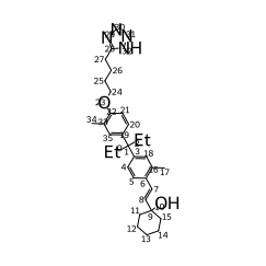 CCC(CC)(c1ccc(C=CC2(O)CCCCC2)c(C)c1)c1ccc(OCCCCc2nnn[nH]2)c(C)c1